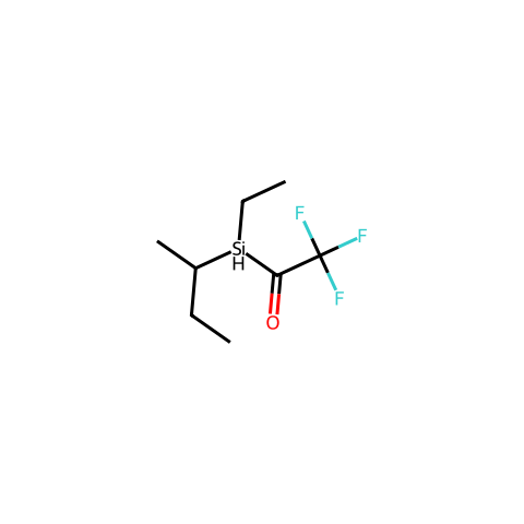 CCC(C)[SiH](CC)C(=O)C(F)(F)F